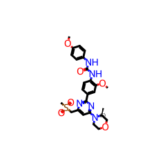 COc1ccc(NC(=O)Nc2ccc(-c3nc(CS(C)(=O)=O)cc(N4CCOC[C@@H]4C)n3)cc2OC)cc1